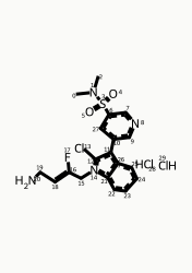 CN(C)S(=O)(=O)c1cncc(-c2c(Cl)n(CC(F)=CCN)c3ccccc23)c1.Cl.Cl